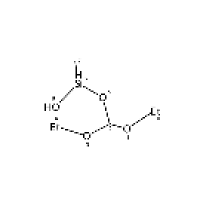 CCOC(OCC)O[SiH](C)O